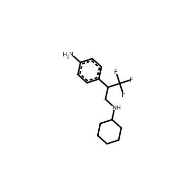 Nc1ccc(C(CNC2CCCCC2)C(F)(F)F)cc1